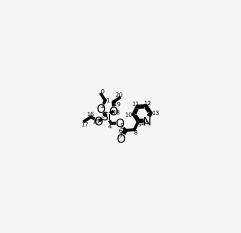 CCO[Si](COC(=O)Cc1ccccn1)(OCC)OCC